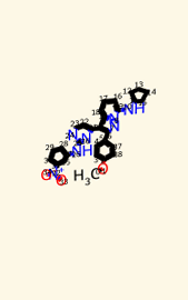 COc1ccc(-c2nn3c(NC4CCCC4)cccc3c2-c2ccnc(Nc3cccc([N+](=O)[O-])c3)n2)cc1